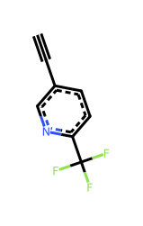 C#Cc1ccc(C(F)(F)F)nc1